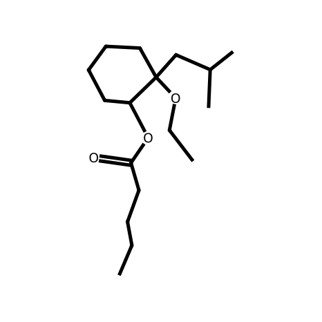 CCCCC(=O)OC1CCCCC1(CC(C)C)OCC